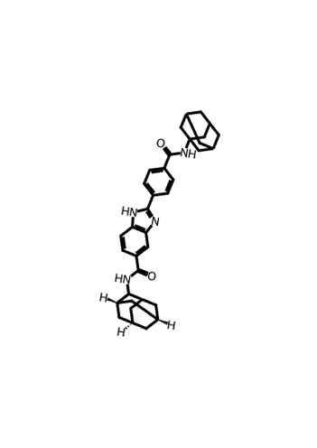 O=C(NC1C2C[C@H]3C[C@@H](C2)C[C@@H]1C3)c1ccc2[nH]c(-c3ccc(C(=O)NC45CC6CC(CC(C6)C4)C5)cc3)nc2c1